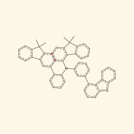 CC1(C)c2ccccc2-c2cc(-c3ccccc3N(c3cccc(-c4cccc5sc6ccccc6c45)c3)c3cccc4c3-c3ccccc3C4(C)C)ccc21